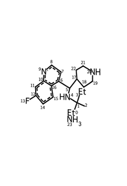 CCC(C)(CC)NC(c1ccnc2cc(F)ccc12)C1CCNCC1.N